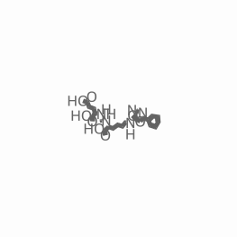 N#CN=C(OC(=O)NCCCCC(NCNC(CCC(=O)O)C(=O)O)C(=O)O)c1ccccc1